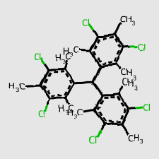 Cc1c(Cl)c(C)c([C](c2c(C)c(Cl)c(C)c(Cl)c2C)c2c(C)c(Cl)c(C)c(Cl)c2C)c(C)c1Cl